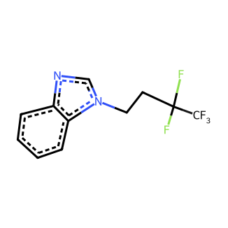 FC(F)(F)C(F)(F)CCn1cnc2ccccc21